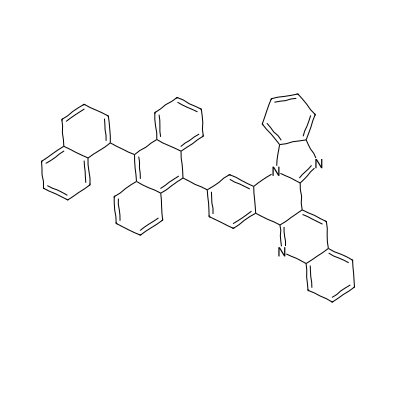 c1ccc2nc3c4ccc(-c5c6ccccc6c(-c6cccc7ccccc67)c6ccccc56)cc4n4c5ccccc5nc4c3cc2c1